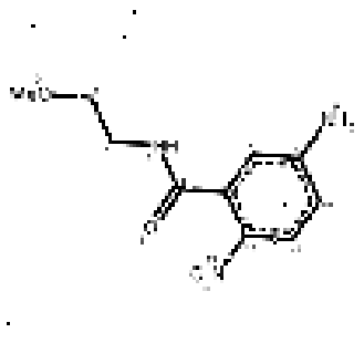 COCCNC(=O)c1cc(N)ccc1[N+](=O)[O-]